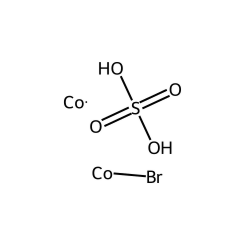 O=S(=O)(O)O.[Co].[Co][Br]